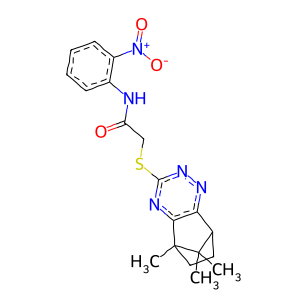 CC12CCC(c3nnc(SCC(=O)Nc4ccccc4[N+](=O)[O-])nc31)C2(C)C